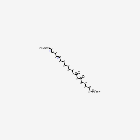 CCCCC/C=C/C/C=C/CCCCCCCC(=O)CC(=O)CCCCCCCCCCCCCCC